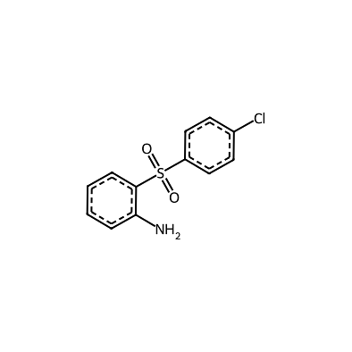 Nc1ccccc1S(=O)(=O)c1ccc(Cl)cc1